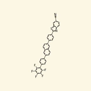 N#Cc1ccc2nc(-c3ccc(-c4ccc5cc(-c6ccc(-c7c(F)c(F)c(F)c(F)c7F)cc6)ccc5c4)cc3)sc2c1